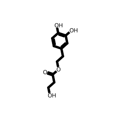 O=C(CCO)OCCc1ccc(O)c(O)c1